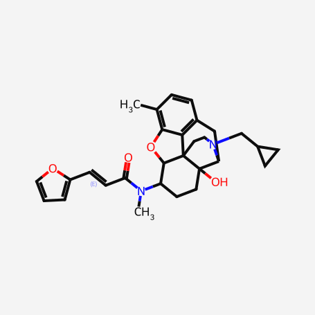 Cc1ccc2c3c1OC1C(N(C)C(=O)/C=C/c4ccco4)CCC4(O)C(C2)N(CC2CC2)CCC314